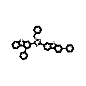 c1ccc(C[N+]2=NC(c3ccc4c(c3)oc3cc(-c5ccccc5)ccc34)=NC2c2cc(-c3ccccc3)c3c(c2)oc2ccccc23)cc1